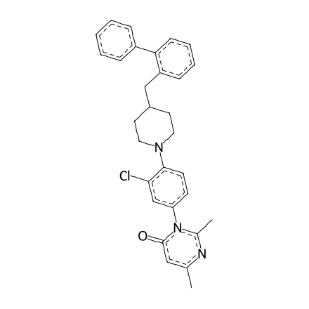 Cc1cc(=O)n(-c2ccc(N3CCC(Cc4ccccc4-c4ccccc4)CC3)c(Cl)c2)c(C)n1